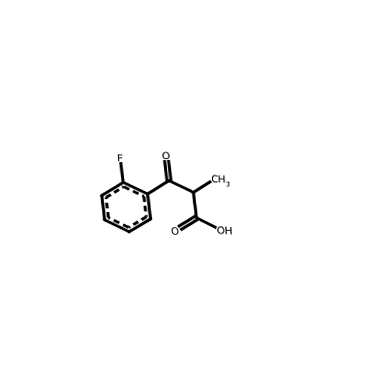 CC(C(=O)O)C(=O)c1ccccc1F